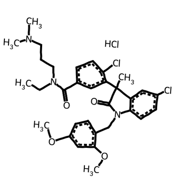 CCN(CCCN(C)C)C(=O)c1ccc(Cl)c(C2(C)C(=O)N(Cc3ccc(OC)cc3OC)c3ccc(Cl)cc32)c1.Cl